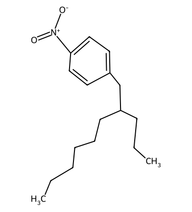 CCCCCCC(CCC)Cc1ccc([N+](=O)[O-])cc1